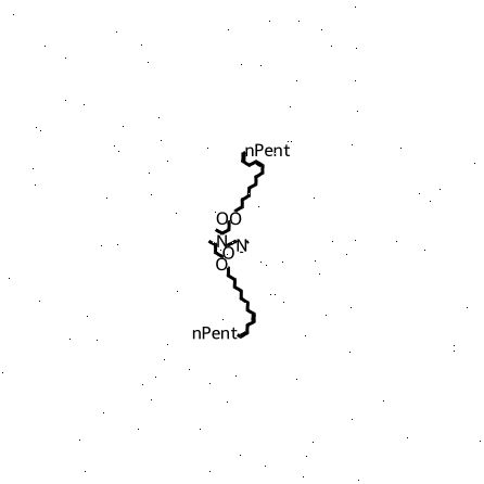 CCCCC/C=C\C/C=C\CCCCCCCCOC(=O)CC(C)N(CCN(C)C)C(C)CC(=O)OCCCCCCCC/C=C\C/C=C\CCCCC